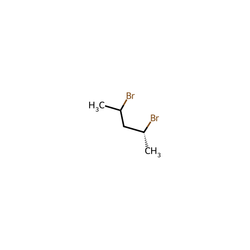 CC(Br)C[C@@H](C)Br